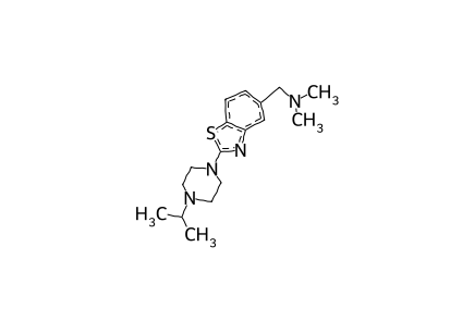 CC(C)N1CCN(c2nc3cc(CN(C)C)ccc3s2)CC1